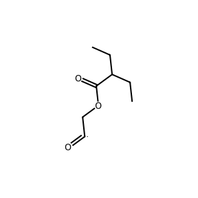 CCC(CC)C(=O)OC[C]=O